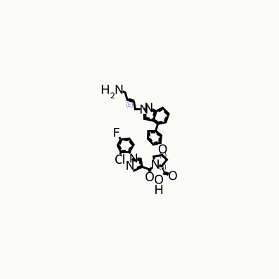 NC/C=C/Cn1cc2c(-c3cccc(O[C@H]4C[C@@H](C(=O)O)N(C(=O)c5cnn(-c6ccc(F)cc6Cl)c5)C4)c3)cccc2n1